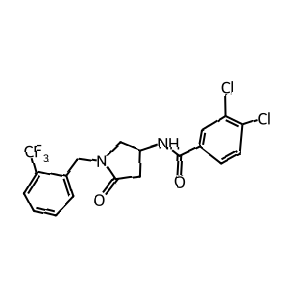 O=C(NC1CC(=O)N(Cc2ccccc2C(F)(F)F)C1)c1ccc(Cl)c(Cl)c1